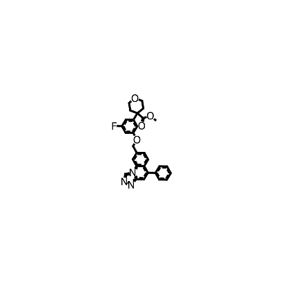 COC(=O)C1(c2cc(F)cc(OCc3ccc4c(-c5ccccc5)cc5nncn5c4c3)c2)CCOCC1